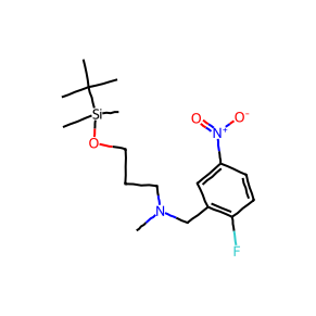 CN(CCCO[Si](C)(C)C(C)(C)C)Cc1cc([N+](=O)[O-])ccc1F